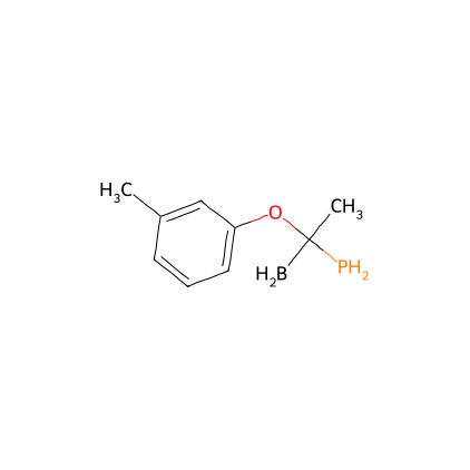 BC(C)(P)Oc1cccc(C)c1